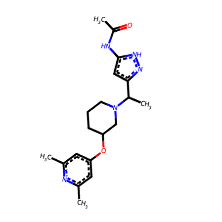 CC(=O)Nc1cc(C(C)N2CCCC(Oc3cc(C)nc(C)c3)C2)n[nH]1